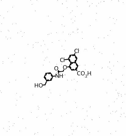 O=C(COc1cc(C(=O)O)cc2cc(Cl)cc(Cl)c12)Nc1cccc(CO)c1